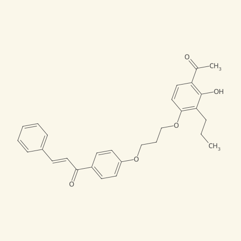 CCCc1c(OCCCOc2ccc(C(=O)/C=C/c3ccccc3)cc2)ccc(C(C)=O)c1O